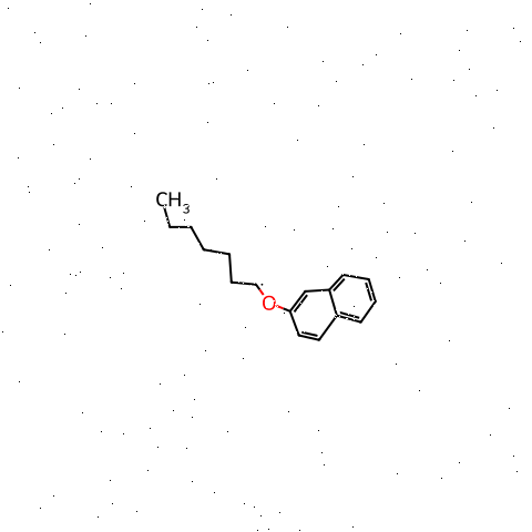 CCCCCC[CH]Oc1ccc2ccccc2c1